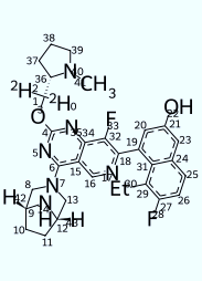 [2H]C([2H])(Oc1nc(N2C[C@H]3CC[C@@H](C2)N3)c2cnc(-c3cc(O)cc4ccc(F)c(CC)c34)c(F)c2n1)[C@@H]1CCCN1C